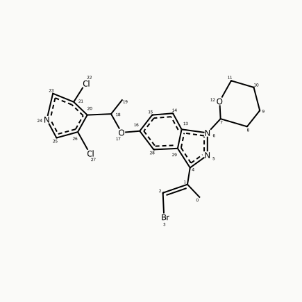 CC(=CBr)c1nn(C2CCCCO2)c2ccc(OC(C)c3c(Cl)cncc3Cl)cc12